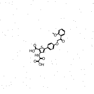 COc1ccccc1C(=O)COc1ccc(-c2cc(NC(=O)C(=O)O)c(C(=O)O)s2)cc1